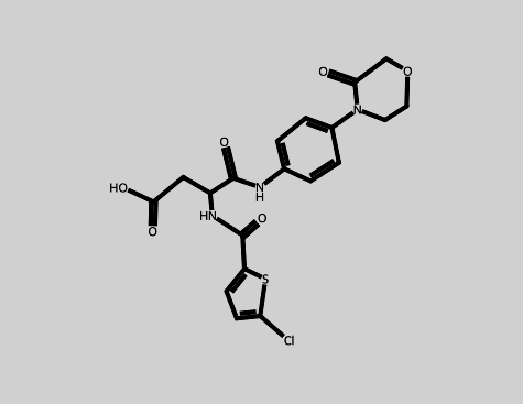 O=C(O)CC(NC(=O)c1ccc(Cl)s1)C(=O)Nc1ccc(N2CCOCC2=O)cc1